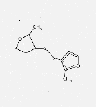 Cc1occc1SSC1CCOC1C